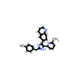 Cc1cccc(-c2[nH]c(Cc3ccc(C#N)cc3)nc2-c2ccc3ncccc3c2)n1